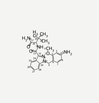 COc1cc(N)ccc1Cn1nc(C(=O)NC(C(N)=O)C(C)(C)C)c2ccccc21